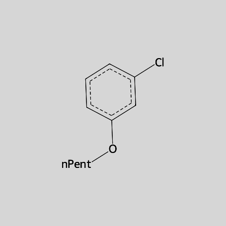 CCCCCOc1cccc(Cl)c1